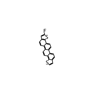 Fc1cc2ccc3c4ccc5c(ccc6ccsc65)c4ccc3c2s1